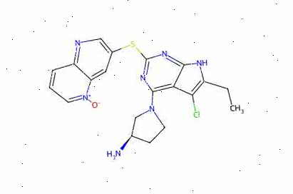 CCc1[nH]c2nc(Sc3cnc4ccc[n+]([O-])c4c3)nc(N3CC[C@@H](N)C3)c2c1Cl